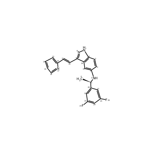 C[C@@H](Nc1ccc2[nH]nc(/C=C/c3ccccn3)c2c1)c1cc(F)cc(F)c1